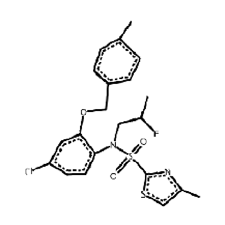 Cc1ccc(COc2cc(Cl)ccc2N(CC(C)F)S(=O)(=O)c2nc(C)cs2)cc1